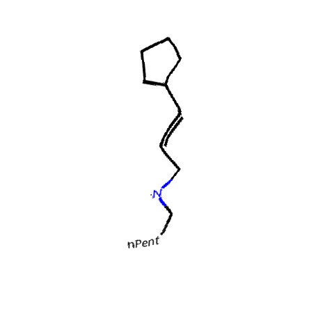 CCCCCC[N]CC=CC1CCCC1